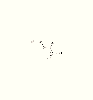 COC=C(Cl)C(=O)O